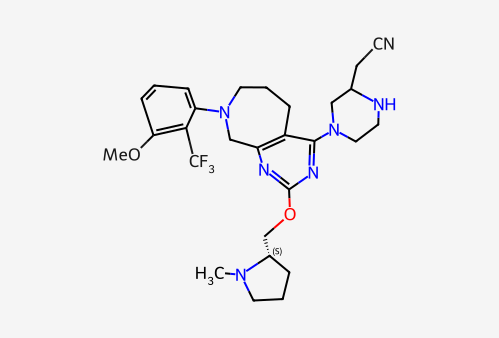 COc1cccc(N2CCCc3c(nc(OC[C@@H]4CCCN4C)nc3N3CCNC(CC#N)C3)C2)c1C(F)(F)F